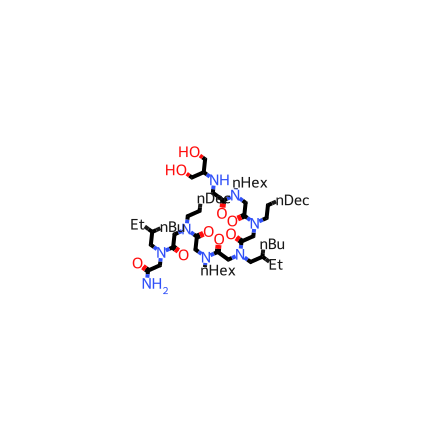 CCCCCCCCCCCCN(CC(=O)N(CC(N)=O)CC(CC)CCCC)C(=O)CN(CCCCCC)C(=O)CN(CC(CC)CCCC)C(=O)CN(CCCCCCCCCCCC)C(=O)CN(CCCCCC)C(=O)CNC(CO)CO